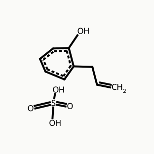 C=CCc1ccccc1O.O=S(=O)(O)O